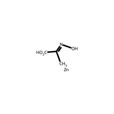 CC(=NO)C(=O)O.[Zn]